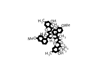 COc1ccc2c(C(C)(CSCC(C)(c3cccc4cc(OC)ccc34)C(C)C3(C)CC(C)=C4C(=CC(C)=CC4(C)O)O3)C(C)C3(C)CC(C)=C4C(=CC(C)=CC4(C)O)O3)cccc2c1